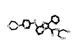 CC(C)CC(CO)NC(=O)c1c(-c2ccccc2)nc2c(Nc3ccc(N4CCOCC4)nc3)cccn12